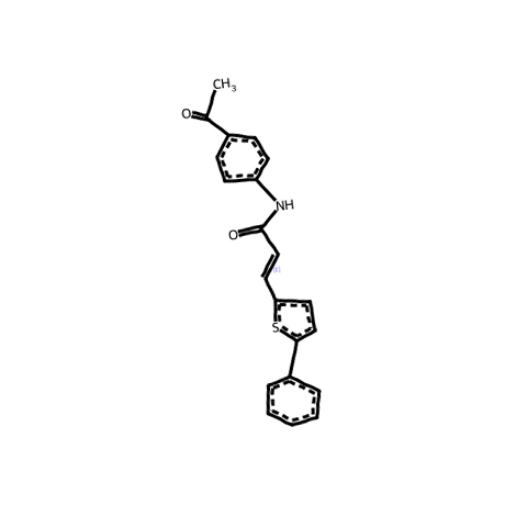 CC(=O)c1ccc(NC(=O)/C=C/c2ccc(-c3ccccc3)s2)cc1